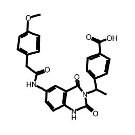 COc1ccc(CC(=O)Nc2ccc3[nH]c(=O)n(C(C)c4ccc(C(=O)O)cc4)c(=O)c3c2)cc1